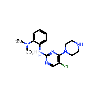 CC(C)(C)N(C(=O)O)c1ccccc1Nc1ncc(Cl)c(N2CCNCC2)n1